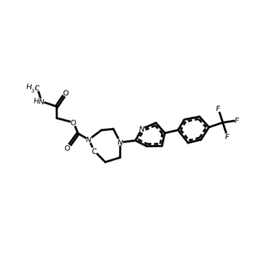 CNC(=O)COC(=O)N1CCCN(c2ccc(-c3ccc(C(F)(F)F)cc3)cn2)CC1